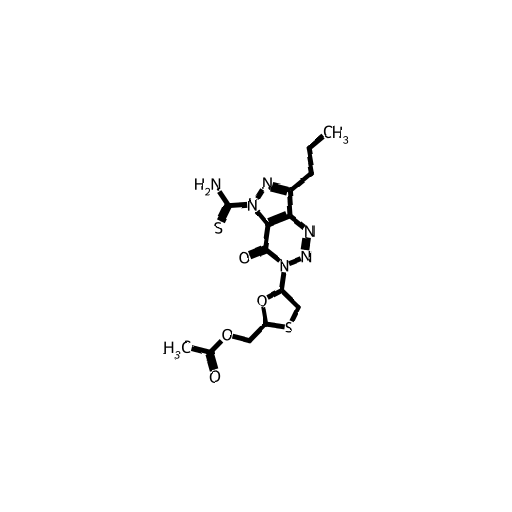 CCCc1nn(C(N)=S)c2c(=O)n(C3CSC(COC(C)=O)O3)nnc12